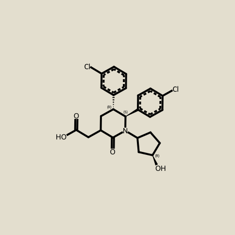 O=C(O)CC1C[C@H](c2cccc(Cl)c2)[C@@H](c2ccc(Cl)cc2)N(C2CC[C@@H](O)C2)C1=O